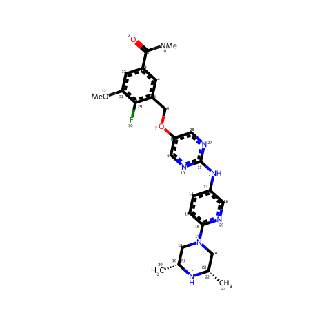 CNC(=O)c1cc(COc2cnc(Nc3ccc(N4C[C@@H](C)N[C@@H](C)C4)nc3)nc2)c(F)c(OC)c1